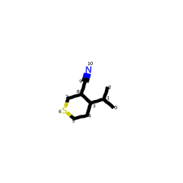 CC(C)C1CCSCC1C#N